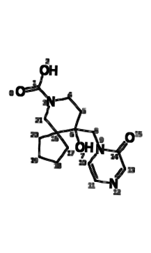 O=C(O)N1CCC(O)(Cn2ccncc2=O)C2(CCCC2)C1